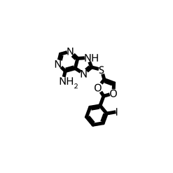 Nc1ncnc2[nH]c(SC3=COC(c4ccccc4I)O3)nc12